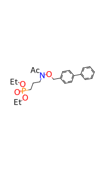 CCOP(=O)(CCCN(OCc1ccc(-c2ccccc2)cc1)C(C)=O)OCC